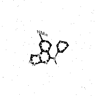 CNc1ccc2c(N(C)c3ccccc3)nc3nncn3c2c1